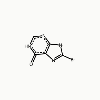 O=c1[nH]cnc2c1N=C(Br)[N]2